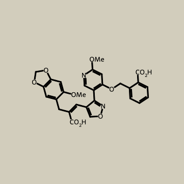 COc1cc(OCc2ccccc2C(=O)O)c(-c2nocc2C=C(Cc2cc3c(cc2OC)OCO3)C(=O)O)cn1